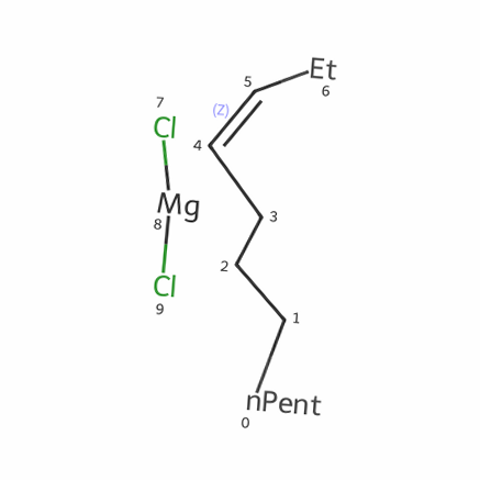 [CH2]CCCCCCC/C=C\CC.[Cl][Mg][Cl]